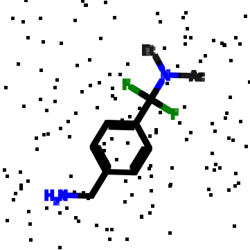 CCN(C(C)=O)C(F)(F)c1ccc(CN)cc1